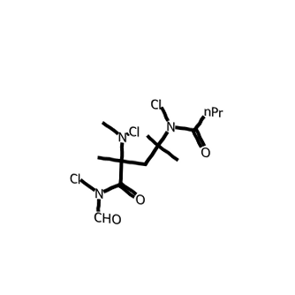 CCCC(=O)N(Cl)C(C)(C)CC(C)(C(=O)N(Cl)C=O)N(C)Cl